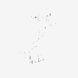 CCCC(NCC(COc1ccc(C(C)(C)c2ccc(OCC(CNC(CCC)C3CC(C)(C)N(C(C)=O)C(C)(C)C3)OC(C)=O)cc2)cc1)OC(C)=O)C1CC(C)(C)N(C(C)=O)C(C)(C)C1